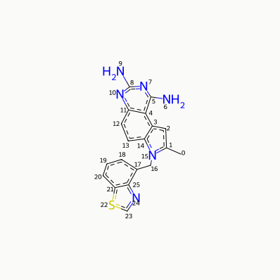 Cc1cc2c3c(N)nc(N)nc3ccc2n1Cc1cccc2scnc12